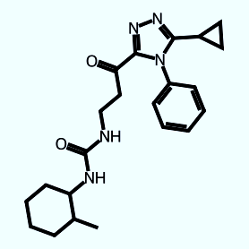 CC1CCCCC1NC(=O)NCCC(=O)c1nnc(C2CC2)n1-c1ccccc1